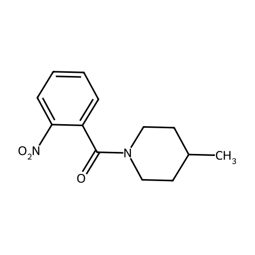 CC1CCN(C(=O)c2ccccc2[N+](=O)[O-])CC1